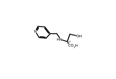 O=C(O)[C@H](CO)NCc1ccncc1